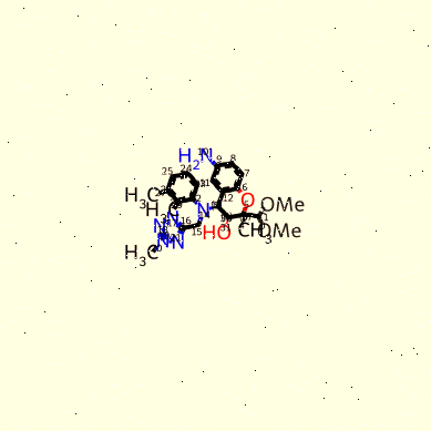 COC(OC)[C@@]1(C)Oc2ccc(N)cc2[C@H](N(Cc2nnn(C)n2)c2cccc(C)c2C)[C@H]1O